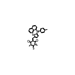 Cc1ccc(N(c2ccc(C=C3C(=O)N(C)C(=S)N(C)C3=O)[se]2)c2cccc3ccccc23)cc1